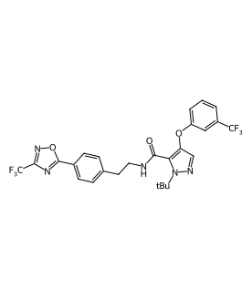 CC(C)(C)n1ncc(Oc2cccc(C(F)(F)F)c2)c1C(=O)NCCc1ccc(-c2nc(C(F)(F)F)no2)cc1